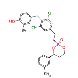 Cc1cccc([C@@H]2CCO[P@](=O)(CCc3cc(Cl)c(Cc4ccc(O)c(C(C)C)c4)c(Cl)c3)O2)c1